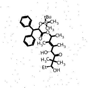 CC[C@H](O)C(C)(C)C(=O)[C@H](O)/C(C)=C(\C)C(C)OC(=O)[C@H](O[Si](C)(C)C(C)(C)C)C(c1ccccc1)c1ccccc1